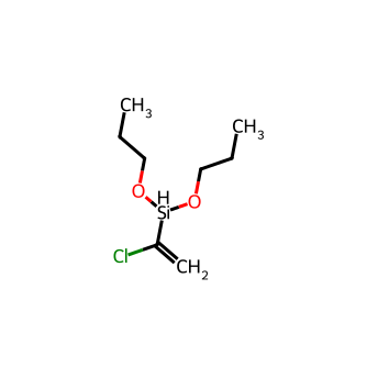 C=C(Cl)[SiH](OCCC)OCCC